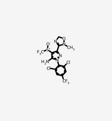 CN1OCN=C1c1nn(-c2c(Cl)cc(C(F)(F)F)cc2Cl)c(N)c1[S+]([O-])C(F)(F)F